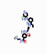 C=Cc1c2cccc(N[C@@H]3CCN(C)C[C@@H]3F)c2nn1C#CCNc1ccc(C(=O)N(C)CCN(C)C)cc1OC